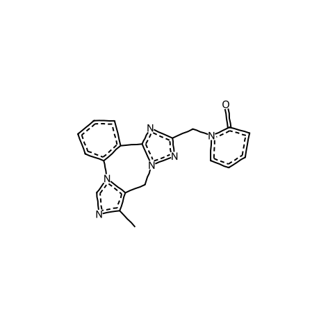 Cc1ncn2c1Cn1nc(Cn3ccccc3=O)nc1-c1ccccc1-2